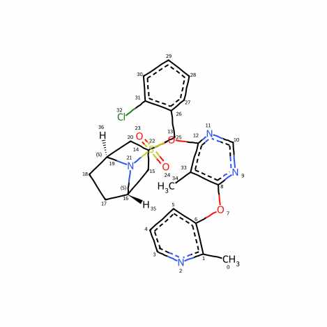 Cc1ncccc1Oc1ncnc(OC2C[C@@H]3CC[C@@H](C2)N3S(=O)(=O)Cc2ccccc2Cl)c1C